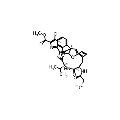 CCC(=O)N[C@H]1Cc2ccc3c(c2)[C@@]2(c4ccccc4NC2O3)c2oc(nc2-c2nc(C(=O)OC)c(Cl)o2)[C@H](C(C)C)NC1=O